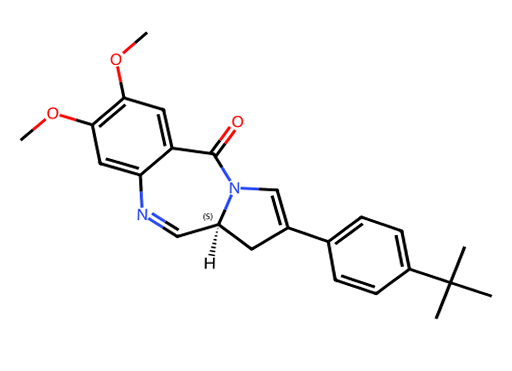 COc1cc2c(cc1OC)C(=O)N1C=C(c3ccc(C(C)(C)C)cc3)C[C@H]1C=N2